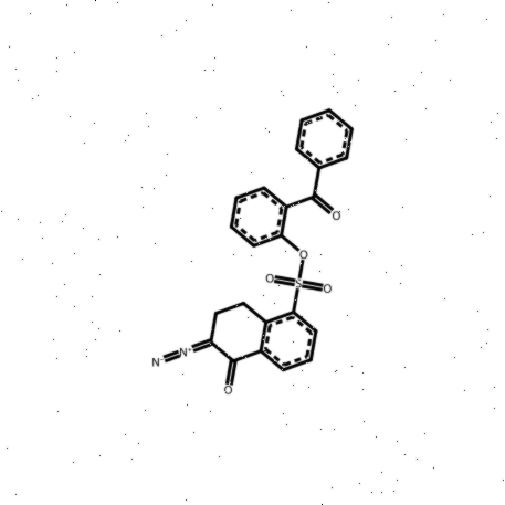 [N-]=[N+]=C1CCc2c(cccc2S(=O)(=O)Oc2ccccc2C(=O)c2ccccc2)C1=O